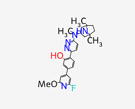 COc1cc(-c2ccc(-c3ccc(N(C)[C@H]4C[C@]5(C)CC[C@](C)(C4)N5)nn3)c(O)c2)cc(F)n1